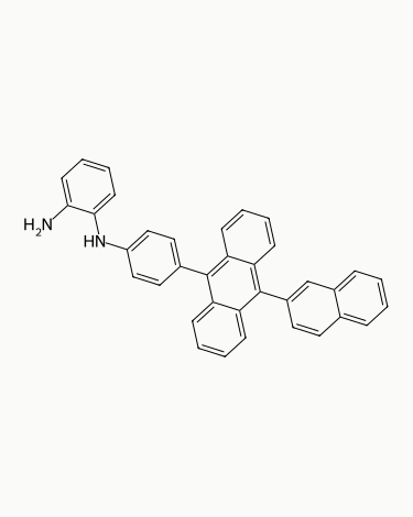 Nc1ccccc1Nc1ccc(-c2c3ccccc3c(-c3ccc4ccccc4c3)c3ccccc23)cc1